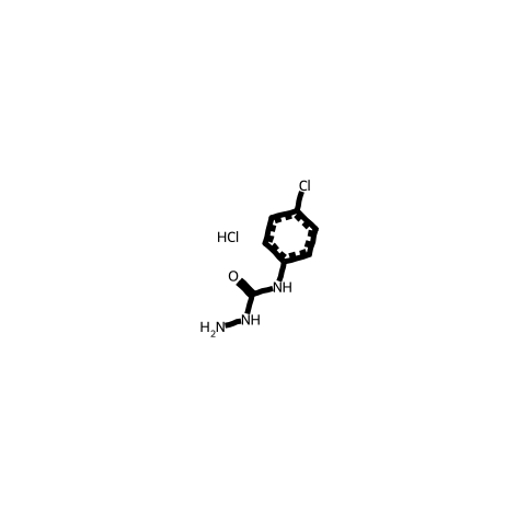 Cl.NNC(=O)Nc1ccc(Cl)cc1